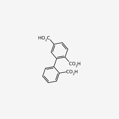 O=C(O)c1ccc(C(=O)O)c(-c2ccccc2C(=O)O)c1